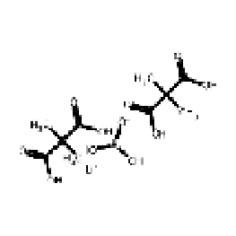 CC(C)(C(=O)O)C(=O)O.CC(C)(C(=O)O)C(=O)O.[Li+].[O-]B(O)O